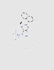 C#Cc1cccc2cc(N)cc(-c3nc4c5c(nc(OC[C@@H]6CCCN6CC(F)F)nc5c3F)N3C[C@H]5CC[C@H](N5)[C@H]3[C@H](C)O4)c12